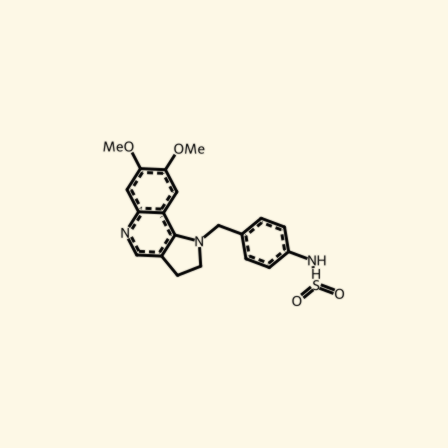 COc1cc2ncc3c(c2cc1OC)N(Cc1ccc(N[SH](=O)=O)cc1)CC3